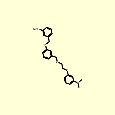 COc1cccc(CNc2cccc(COCCOc3cccc(N(C)C)c3)c2)c1